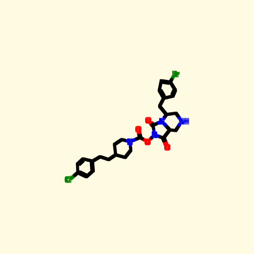 O=C(ON1C(=O)C2CNCC(Cc3ccc(Br)cc3)N2C1=O)N1CCC(CCc2ccc(Cl)cc2)CC1